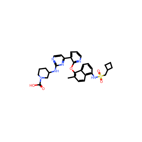 Cc1ccc2c(NS(=O)(=O)CC3CCC3)cccc2c1Oc1ncccc1-c1ccnc(NC2CCCN(C(=O)O)C2)n1